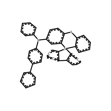 c1ccc(-c2ccc(N(c3ccccc3)c3ccc4c(c3)[Si]3(c5ccccc5S4)c4ccccc4-c4ccccc43)cc2)cc1